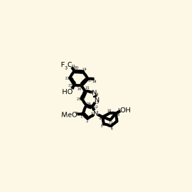 COc1cn(C23CCCC(O)(C2)C3)c2nnc(-c3c(C)cc(C(F)(F)F)cc3O)cc12